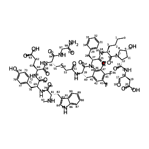 CCCC[C@@H](C(=O)N1C[C@H](O)C[C@@H]1C(=O)N[C@H](C=O)CC(=O)O)N(C)C(=O)[C@H](Cc1ccccc1)N(C)C(=O)[C@H](Cc1cc(F)c(F)c(F)c1)NC(=O)CSC[C@H](NC(=O)[C@H](CCC(=O)O)NC(=O)[C@H](Cc1ccc(O)cc1)NC(=O)[C@H](Cc1c[nH]c2ccccc12)NC)C(=O)NCC(N)=O